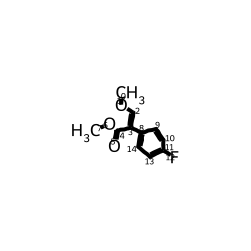 COC=C(C(=O)OC)c1ccc(F)cc1